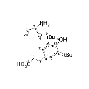 C=CC(N)=O.CC(C)(C)c1cc(CCC(=O)O)cc(C(C)(C)C)c1O